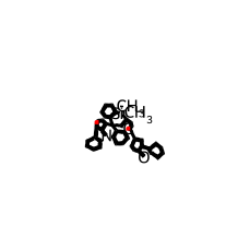 C[Si]1(C)c2ccccc2C2(c3ccccc3-n3c4ccccc4c4cccc2c43)c2cc(-c3ccc4oc5ccccc5c4c3)ccc21